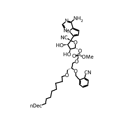 CCCCCCCCCCCCCCCCCCOC[C@H](COP(=O)(OC)O[C@H]1O[C@@](C#N)(c2ccc3c(N)ncnn23)[C@H](O)[C@@H]1O)OCc1ccccc1C#N